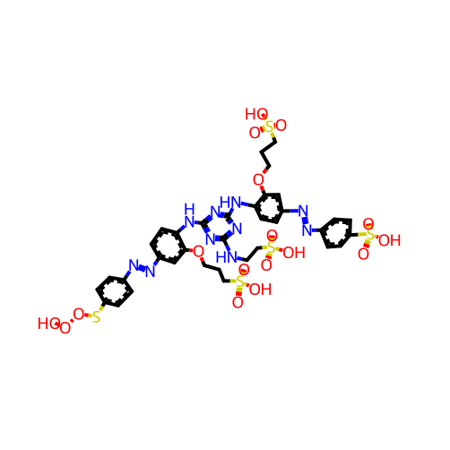 O=S(=O)(O)CCCOc1cc(N=Nc2ccc(SOOO)cc2)ccc1Nc1nc(NCCS(=O)(=O)O)nc(Nc2ccc(N=Nc3ccc(S(=O)(=O)O)cc3)cc2OCCCS(=O)(=O)O)n1